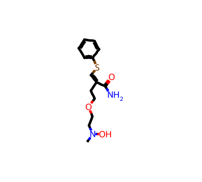 CN(O)CCOCCC(=CSc1ccccc1)C(N)=O